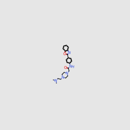 CN(C)CCN1CCN(CC(=O)Nc2ccc(-c3nc4ccccc4o3)cc2)CC1